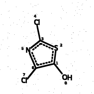 Oc1sc(Cl)nc1Cl